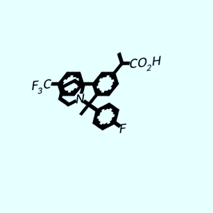 CC(C(=O)O)c1ccc(C(C)(c2ccc(F)cc2)N2CCCCC2)c(-c2ccc(C(F)(F)F)cc2)c1